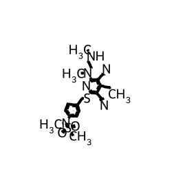 CCc1c(C#N)c(SCc2ccc(N(C)S(C)(=O)=O)cc2)nc(N(C)CCNC)c1C#N